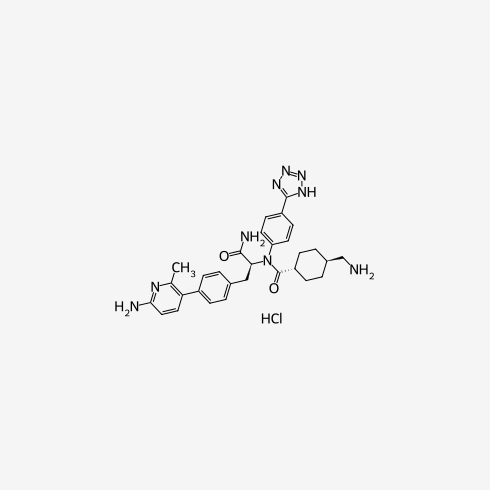 Cc1nc(N)ccc1-c1ccc(C[C@@H](C(N)=O)N(c2ccc(-c3nnn[nH]3)cc2)C(=O)[C@H]2CC[C@H](CN)CC2)cc1.Cl